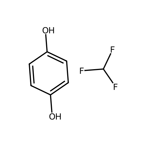 FC(F)F.Oc1ccc(O)cc1